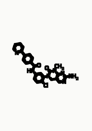 CN1C(=O)N(c2cc(NC(=O)c3ccc(-c4ccccn4)cc3)ccc2Cl)Cc2cnc(N)nc21